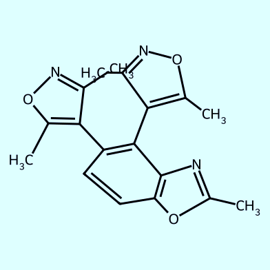 Cc1nc2c(-c3c(C)noc3C)c(-c3c(C)noc3C)ccc2o1